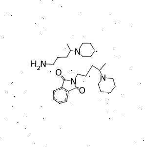 CC(CCCN)N1CCCCC1.CC(CCCN1C(=O)c2ccccc2C1=O)N1CCCCC1